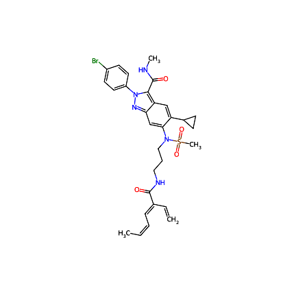 C=C/C(=C\C=C/C)C(=O)NCCCN(c1cc2nn(-c3ccc(Br)cc3)c(C(=O)NC)c2cc1C1CC1)S(C)(=O)=O